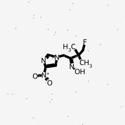 CC(C)(CF)C(Cn1cnc([N+](=O)[O-])c1)=NO